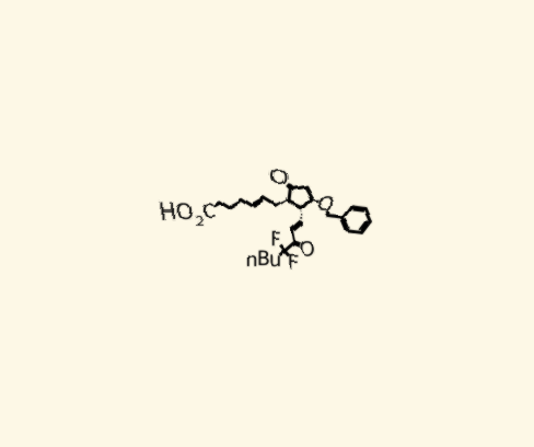 CCCCC(F)(F)C(=O)/C=C/[C@H]1[C@H](OCc2ccccc2)CC(=O)[C@@H]1C/C=C/CCCC(=O)O